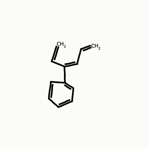 C=C[C]=C(C=C)c1ccccc1